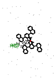 CC(C)C1=Cc2c(-c3cccc4ccccc34)ccc(-c3cccc4ccccc34)c2[CH]1[Zr]([CH3])([CH3])(=[SiH2])[CH]1C(C(C)C)=Cc2c(-c3cccc4ccccc34)ccc(-c3cccc4ccccc34)c21.Cl.Cl